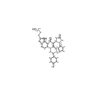 O=C(O)CCc1cc2cccc(C(=O)C([C@H]3CNC[C@H]3c3ccsc3)N3CCC(c4ccc(F)cc4)CC3)c2[nH]1